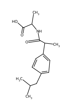 CC(C)Cc1ccc(C(C)C(=O)NC(C)C(=O)O)cc1